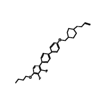 C=CCCC1CCC(COc2ccc(-c3ccc(-c4ccc(OCCCC)c(F)c4F)cc3)cc2)CC1